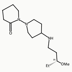 CC[C@H](CCNC1CCN(N2CCCCC2=O)CC1)OC